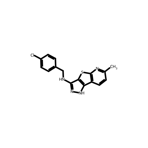 Cc1ccc2c(n1)sc1c(NCc3ccc(Cl)cc3)n[nH]c12